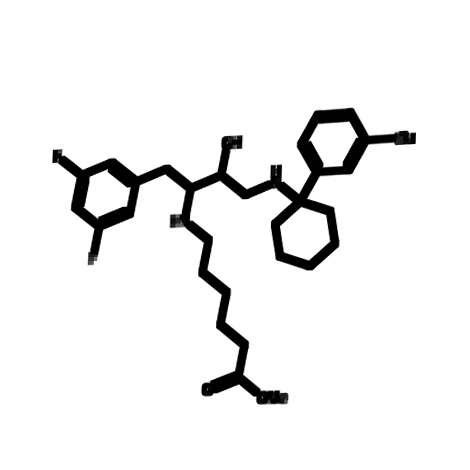 COC(=O)CCCCCNC(Cc1cc(F)cc(F)c1)C(O)CNC1(c2cccc(C(C)(C)C)c2)CCCCC1